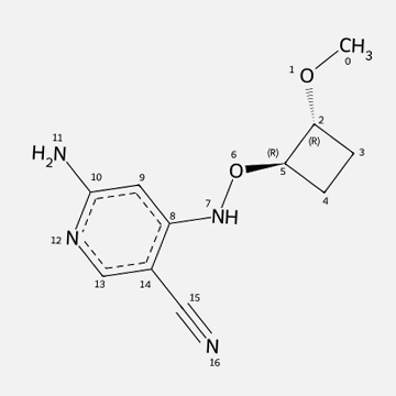 CO[C@@H]1CC[C@H]1ONc1cc(N)ncc1C#N